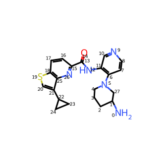 NC1CCCN(c2ccncc2NC(=O)c2ccc3scc(C4CC4)c3n2)C1